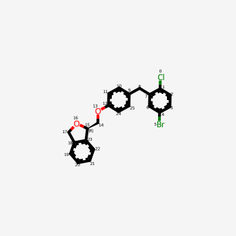 Clc1ccc(Br)cc1Cc1ccc(OC[C@@H]2OCc3ccccc32)cc1